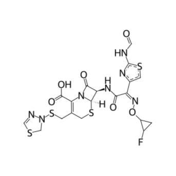 O=CNc1nc(/C(=N/OC2CC2F)C(=O)N[C@@H]2C(=O)N3C(C(=O)O)=C(CSN4CSC=N4)CS[C@H]23)cs1